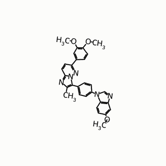 COc1ccc2c(c1)ncn2-c1ccc(-c2c(C)nc3ccc(-c4ccc(OC)c(OC)c4)nn23)cc1